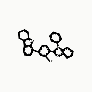 CC(C)c1cc(-c2cccc3c4c(oc23)C=CCC4)ccc1-c1nc2ccccc2n1-c1ccccc1